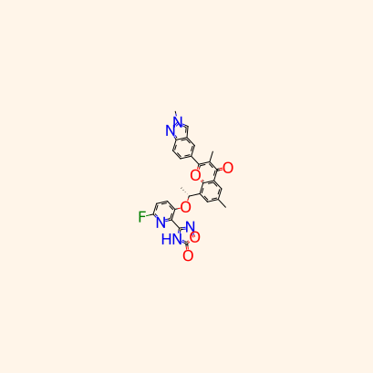 Cc1cc([C@@H](C)Oc2ccc(F)nc2-c2noc(=O)[nH]2)c2oc(-c3ccc4nn(C)cc4c3)c(C)c(=O)c2c1